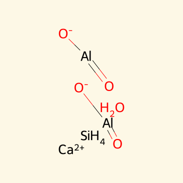 O.[Ca+2].[O]=[Al][O-].[O]=[Al][O-].[SiH4]